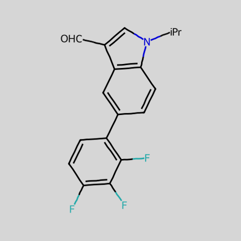 CC(C)n1cc(C=O)c2cc(-c3ccc(F)c(F)c3F)ccc21